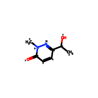 CC(O)c1ccc(=O)n(C)n1